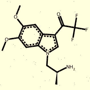 COc1cc2c(C(=O)C(F)(F)F)cn(C[C@H](C)N)c2cc1OC